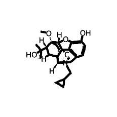 [3H]C1[C@H](C(C)(C)O)[C@]2(OC)CC[C@]13[C@H]1Cc4ccc(O)c5c4[C@@]3(CCN1CC1CC1)[C@H]2O5